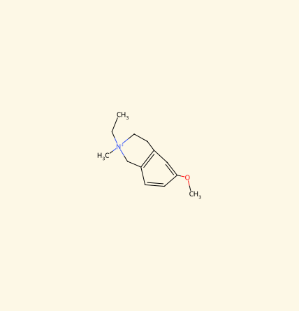 CC[N+]1(C)CCc2cc(OC)ccc2C1